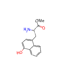 COC(=O)C(N)Cc1ccc(O)c2ccccc12